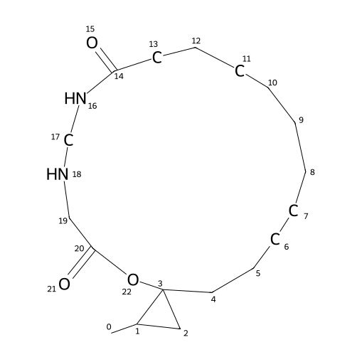 CC1CC12CCCCCCCCCCC(=O)NCNCC(=O)O2